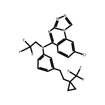 FC(F)(F)CN(c1cccc(CCC2(C(F)(F)F)CC2)c1)c1nc2nncn2c2cc(Cl)ccc12